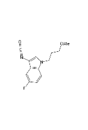 COCCCn1cc(N=C=O)c2cc(F)ccc21